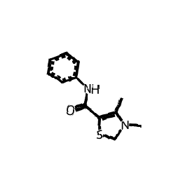 CC1=C(C(=O)Nc2ccccc2)SCN1C